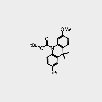 COc1ccc2c(c1)N(C(=O)OC(C)(C)C)c1ccc(C(C)C)cc1C2(C)C